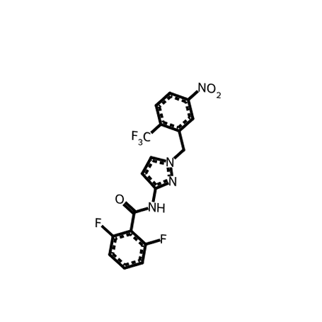 O=C(Nc1ccn(Cc2cc([N+](=O)[O-])ccc2C(F)(F)F)n1)c1c(F)cccc1F